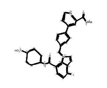 CNC(=O)c1cc(-c2ccc(Cn3ccc4c(F)ccc(C(=O)NC5CCC(C(=O)O)CC5)c43)cc2)ccn1